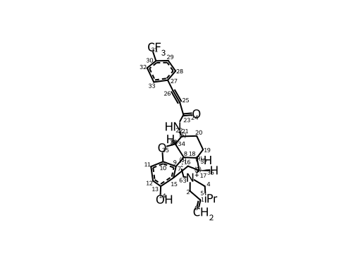 C=CC[N+]1(CC(C)C)CC[C@@]23c4c5ccc(O)c4C[C@@H]1[C@@H]2CC[C@H](NC(=O)C#Cc1ccc(C(F)(F)F)cc1)[C@@H]3O5